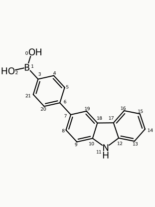 OB(O)c1ccc(-c2ccc3[nH]c4ccccc4c3c2)cc1